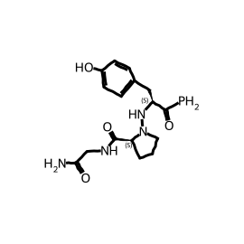 NC(=O)CNC(=O)[C@@H]1CCCN1N[C@@H](Cc1ccc(O)cc1)C(=O)P